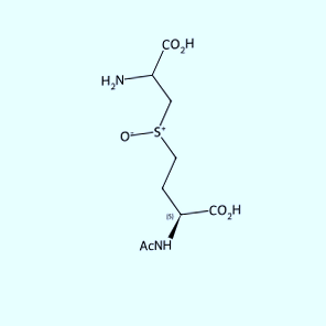 CC(=O)N[C@@H](CC[S+]([O-])CC(N)C(=O)O)C(=O)O